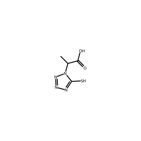 CC(C(=O)O)n1nnnc1S